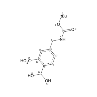 CC(C)(C)OC(=O)NCc1ccc(C(O)O)c(C(=O)O)c1